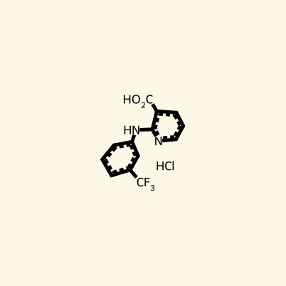 Cl.O=C(O)c1cccnc1Nc1cccc(C(F)(F)F)c1